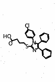 O=C(O)CCCSc1nc(-c2ccccc2)c(-c2ccccc2)n1-c1ccc(Cl)cc1